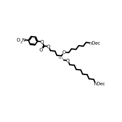 CCCCCCCCCCCCCCCCCCOC[C@H](CCCOC(=O)Oc1ccc([N+](=O)[O-])cc1)OCCCCCCCCCCCCCCCC